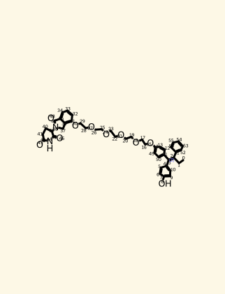 CC/C(=C(\c1ccc(O)cc1)c1ccc(OCCOCCOCCOCCOCCOc2cccc3c2CN(C2CCC(=O)NC2=O)C3=O)cc1)c1ccccc1